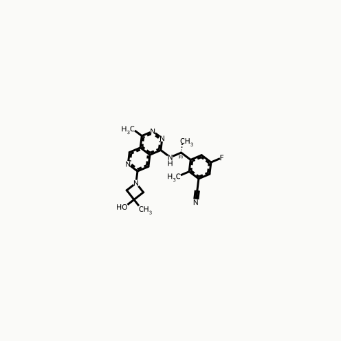 Cc1c(C#N)cc(F)cc1[C@@H](C)Nc1nnc(C)c2cnc(N3CC(C)(O)C3)cc12